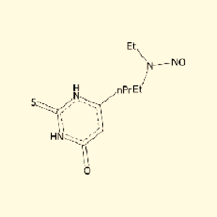 CCCc1cc(=O)[nH]c(=S)[nH]1.CCN(CC)N=O